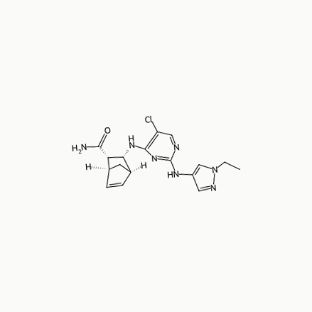 CCn1cc(Nc2ncc(Cl)c(N[C@H]3[C@@H](C(N)=O)[C@@H]4C=C[C@H]3C4)n2)cn1